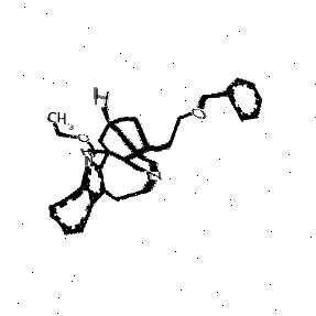 CCOC(=O)C12C[C@@H]3CC(CCOCc4ccccc4)C1N(CCc1c2[nH]c2ccccc12)C3